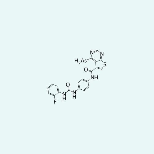 O=C(Nc1ccc(NC(=O)c2csc3ncnc([AsH2])c23)cc1)Nc1ccccc1F